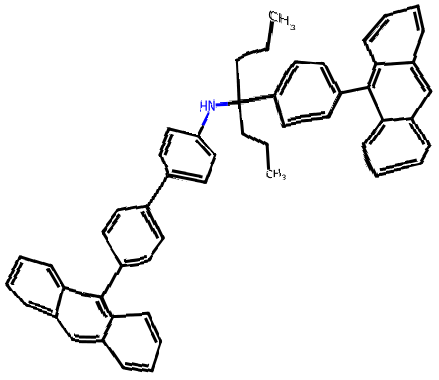 CCCC(CCC)(Nc1ccc(-c2ccc(-c3c4ccccc4cc4ccccc34)cc2)cc1)c1ccc(-c2c3ccccc3cc3ccccc23)cc1